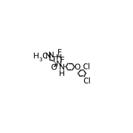 Cn1cc(C(=O)NNc2ccc(Oc3ccc(Cl)cc3Cl)cc2)c(C(F)F)n1